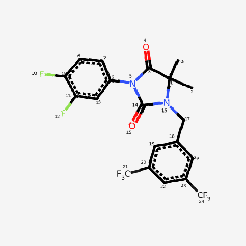 CC1(C)C(=O)N(c2ccc(F)c(F)c2)C(=O)N1Cc1cc(C(F)(F)F)cc(C(F)(F)F)c1